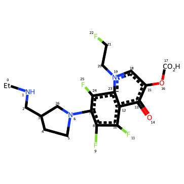 CCNCC1CCN(c2c(F)c(F)c3c(=O)c(OC(=O)O)cn(CCF)c3c2F)C1